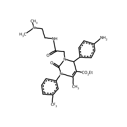 CCOC(=O)C1=C(C)N(c2cccc(C(F)(F)F)c2)C(=O)N(CC(=O)NCCN(C)C)C1c1ccc(N)cc1